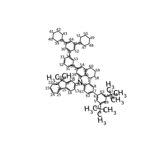 CC(C)(C)c1cc(-c2ccc(N(c3ccc4c(c3)C(C)(C)c3ccccc3-4)c3cc(-c4cccc(-c5cc(C6CCCCC6)cc(C6CCCCC6)c5)c4)cc4c3CCCC4)cc2)cc(C(C)(C)C)c1